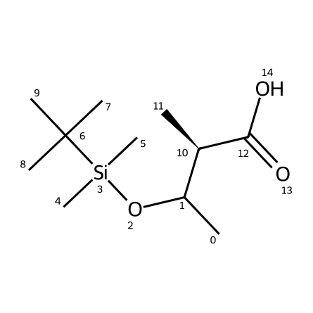 CC(O[Si](C)(C)C(C)(C)C)[C@@H](C)C(=O)O